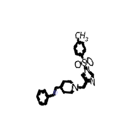 Cc1ccc(S(=O)(=O)n2cnc(CN3CC=C(/C=C/c4ccccc4)CC3)c2)cc1